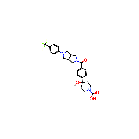 COC1(c2ccc(C(=O)N3CC4CN(c5ccc(C(F)(F)F)cc5)CC4C3)cc2)CCN(C(=O)O)CC1